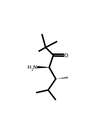 CC(C)[C@@H](C)[C@@H](N)C(=O)C(C)(C)C